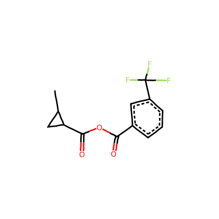 CC1CC1C(=O)OC(=O)c1cccc(C(F)(F)F)c1